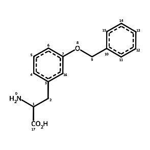 NC(Cc1cccc(OCc2ccccc2)c1)C(=O)O